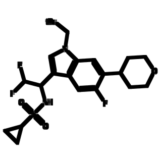 CC(C)(C)Cn1cc(C(NS(=O)(=O)C2CC2)C(F)F)c2cc(F)c(C3CCOCC3)cc21